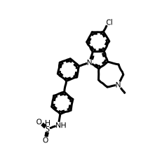 CN1CCc2c(n(-c3cccc(-c4ccc(N[SH](=O)=O)cc4)c3)c3ccc(Cl)cc23)CC1